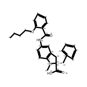 CCCCOc1ccccc1C(=O)Nc1ccc2c(c1)C[C@@](Cc1ccccc1)(C(=O)O)N2C